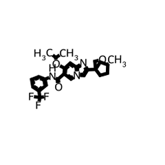 CC(C)Oc1cc2nc(C34CCC(C)(C3)OC4)cn2cc1C(=O)Nc1cccc(C(F)(F)F)c1